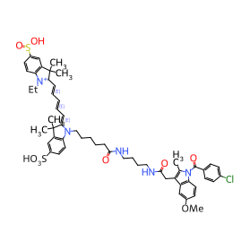 CC[N+]1=C(/C=C/C=C/C=C2/N(CCCCCC(=O)NCCCCNC(=O)Cc3c(C)n(C(=O)c4ccc(Cl)cc4)c4ccc(OC)cc34)c3ccc(S(=O)(=O)O)cc3C2(C)C)C(C)(C)c2cc(S(=O)O)ccc21